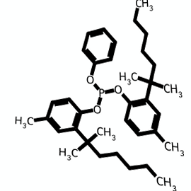 CCCCCC(C)(C)c1cc(C)ccc1OP(Oc1ccccc1)Oc1ccc(C)cc1C(C)(C)CCCCC